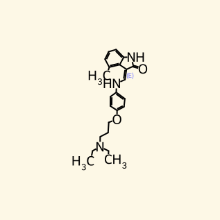 CCN(CC)CCCOc1ccc(N/C=C2/C(=O)Nc3cccc(C)c32)cc1